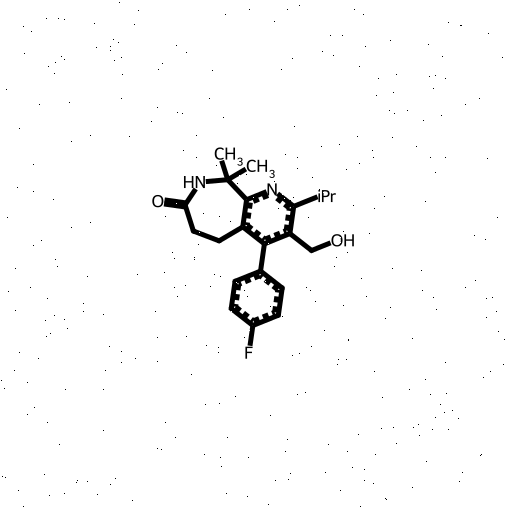 CC(C)c1nc2c(c(-c3ccc(F)cc3)c1CO)CCC(=O)NC2(C)C